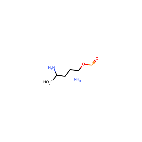 N.NC(CCCOP=O)C(=O)O